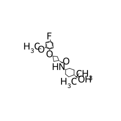 COc1cc(F)ccc1O[C@H]1C[C@H](C(=O)N[C@H]2CC[C@H](C(C)(C)O)CC2)C1